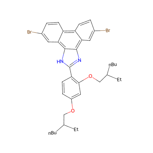 CCCCC(CC)COc1ccc(-c2nc3c4cc(Br)ccc4c4ccc(Br)cc4c3[nH]2)c(OCC(CC)CCCC)c1